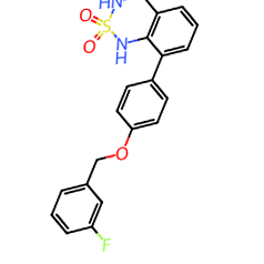 O=S1(=O)NCc2cccc(-c3ccc(OCc4cccc(F)c4)cc3)c2N1